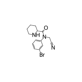 N#CCN(C(=O)C1CCCCN1)c1cccc(Br)c1